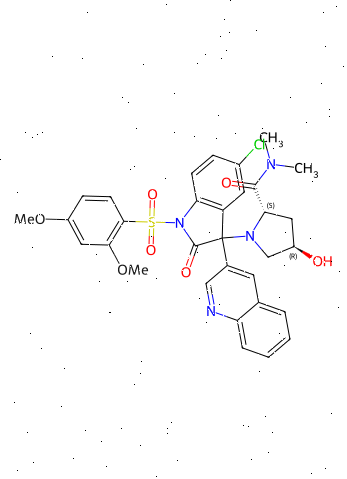 COc1ccc(S(=O)(=O)N2C(=O)C(c3cnc4ccccc4c3)(N3C[C@H](O)C[C@H]3C(=O)N(C)C)c3cc(Cl)ccc32)c(OC)c1